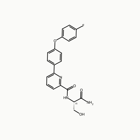 NC(=O)[C@H](CO)NC(=O)c1cccc(-c2ccc(Oc3ccc(F)cc3)cc2)n1